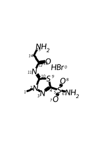 Br.Cn1nc(S(N)(=O)=O)sc1=NC(=O)CN